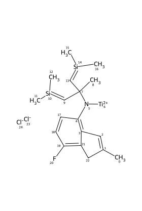 CC1=Cc2c([N]([Ti+2])C(C)(C=[Si](C)C)C=[Si](C)C)ccc(F)c2C1.[Cl-].[Cl-]